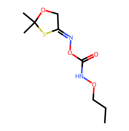 CCCONC(=O)ON=C1COC(C)(C)S1